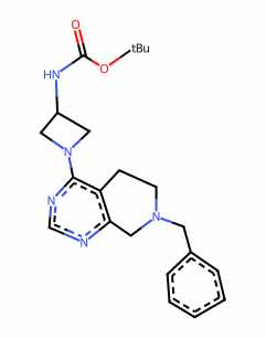 CC(C)(C)OC(=O)NC1CN(c2ncnc3c2CCN(Cc2ccccc2)C3)C1